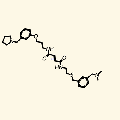 CN(C)Cc1cccc(CSCCNC(=O)/C=C/C(=O)NCCCOc2cccc(CN3CCCC3)c2)c1